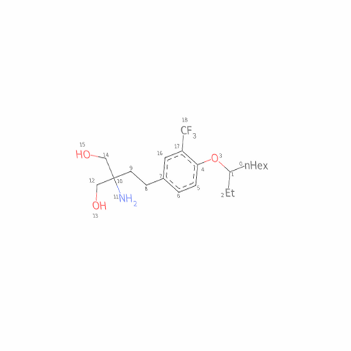 CCCCCCC(CC)Oc1ccc(CCC(N)(CO)CO)cc1C(F)(F)F